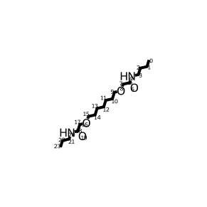 CCCCNC(=O)COCCCCCCCOCC(=O)NCCC